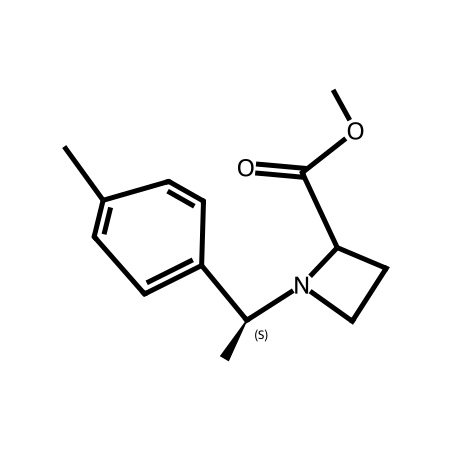 COC(=O)C1CCN1[C@@H](C)c1ccc(C)cc1